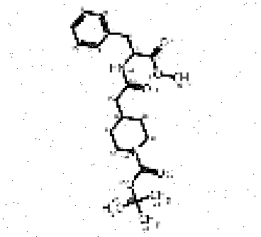 COC(=O)C(Cc1ccccc1)NC(=O)CC1CCN(C(=O)OC(C)(C)C)CC1